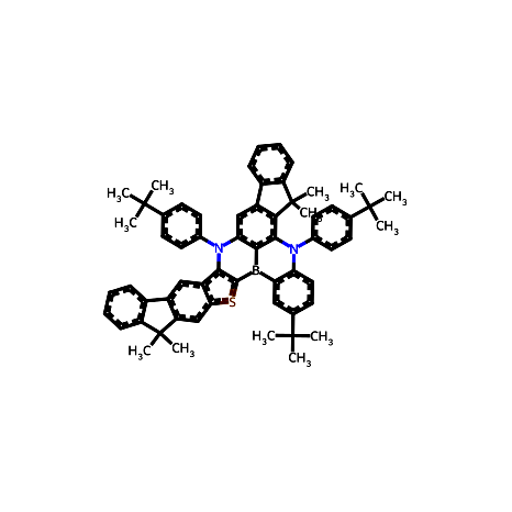 CC(C)(C)c1ccc(N2c3ccc(C(C)(C)C)cc3B3c4sc5cc6c(cc5c4N(c4ccc(C(C)(C)C)cc4)c4cc5c(c2c43)C(C)(C)c2ccccc2-5)-c2ccccc2C6(C)C)cc1